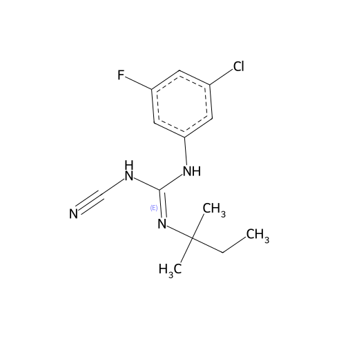 CCC(C)(C)/N=C(/NC#N)Nc1cc(F)cc(Cl)c1